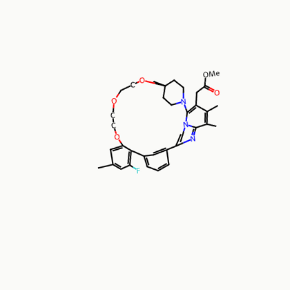 COC(=O)Cc1c(C)c(C)c2nc3cn2c1N1CCC(C)(CC1)OCCOCCOc1cc(C)cc(F)c1-c1cccc-3c1